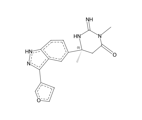 CN1C(=N)N[C@](C)(c2ccc3[nH]nc(-c4ccoc4)c3c2)CC1=O